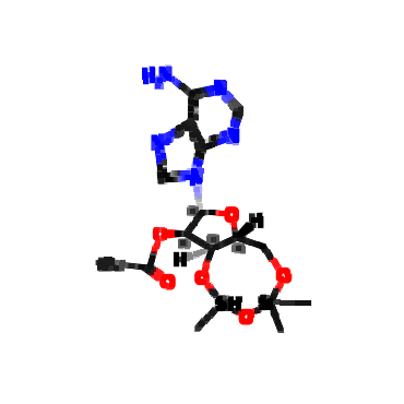 C[SiH]1O[C@H]2[C@@H](OC(=O)C(C)(C)C)[C@H](n3cnc4c(N)ncnc43)O[C@@H]2CO[Si](C)(C)O1